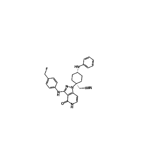 N#CC[C@]1(n2nc(Nc3ccc(CF)cc3)c3c(=O)[nH]ccc32)CC[C@H](Nc2ccccc2)CC1